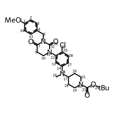 COc1ccc(CN2C(=O)CCN(c3cc(N(C)C4CCN(C(=O)OC(C)(C)C)CC4)ccc3Cl)C2=O)cc1